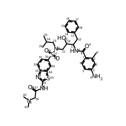 Cc1cc(N)ccc1C(=O)NC(Cc1ccccc1)C(O)CN(CC(C)C)S(=O)(=O)c1ccc2nc(NC(=O)CN(C)C)sc2c1